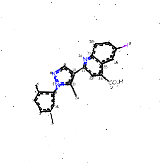 Cc1ccc(C)c(-n2ncc(-c3cc(C(=O)O)c4cc(I)ccc4n3)c2C)c1